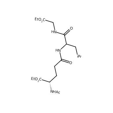 CCOC(=O)CNC(=O)C(CC(C)C)NC(=O)CC[C@H](NC(C)=O)C(=O)OCC